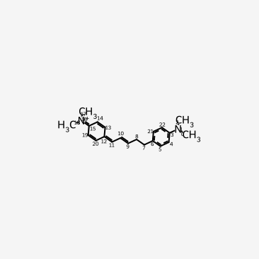 CN(C)c1ccc(CC/C=C/C=C2C=CC(=[N+](C)C)C=C2)cc1